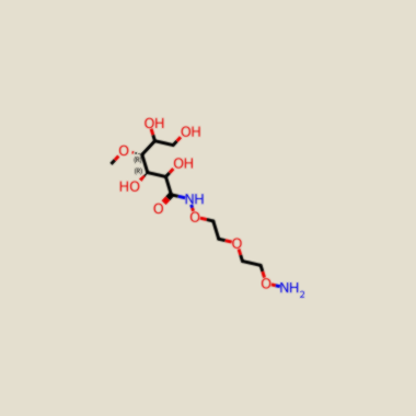 CO[C@H](C(O)CO)[C@H](O)C(O)C(=O)NOCCOCCON